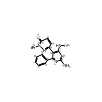 CCCNc1nc(N)nc(-c2ccccc2)c1-c1ccc(=O)n(C(C)C)n1